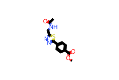 COC(=O)c1ccc(-c2nnc(CNC(C)=O)s2)cc1